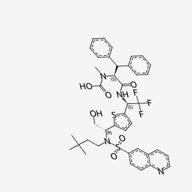 CN(C(=O)O)[C@H](C(=O)N[C@H](c1ccc([C@@H](CO)N(CCC(C)(C)C)S(=O)(=O)c2ccc3ncccc3c2)s1)C(F)(F)F)C(c1ccccc1)c1ccccc1